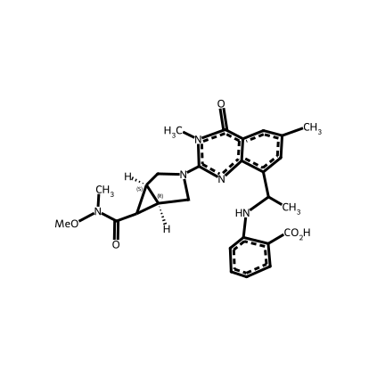 CON(C)C(=O)C1[C@H]2CN(c3nc4c(C(C)Nc5ccccc5C(=O)O)cc(C)cc4c(=O)n3C)C[C@@H]12